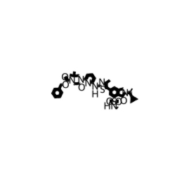 CNS(=O)(=O)c1cc(-c2sc(Nc3cccc(N4CC(C)(C)N(C(=O)OCc5ccccc5)CC4=O)n3)nc2C)cc2c1C(=O)N([C@@H](C)C1CC1)C2